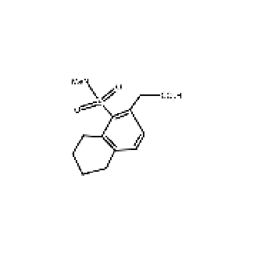 CNS(=O)(=O)c1c(CC(=O)O)ccc2c1CCCC2